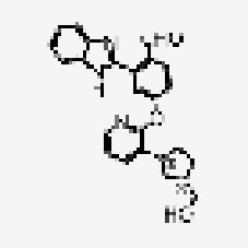 O=Cc1ccc(Oc2ncccc2[C@H]2CC[C@@H](CO)C2)cc1-c1nc2ccccc2[nH]1